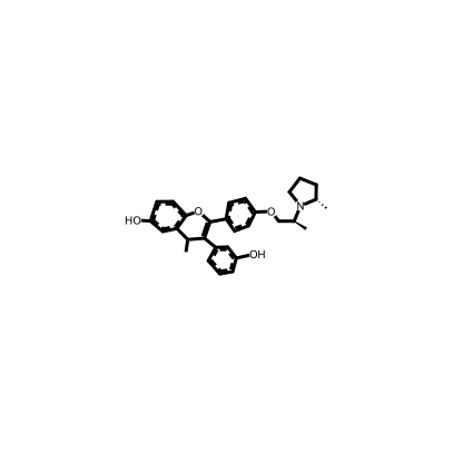 CC1C(c2cccc(O)c2)=C(c2ccc(OC[C@H](C)N3CCC[C@@H]3C)cc2)Oc2ccc(O)cc21